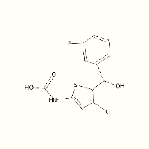 O=C(O)Nc1nc(Cl)c(C(O)c2cccc(F)c2)s1